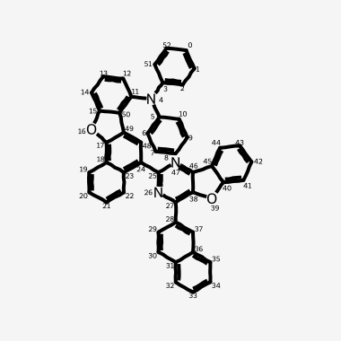 c1ccc(N(c2ccccc2)c2cccc3oc4c5ccccc5c(-c5nc(-c6ccc7ccccc7c6)c6oc7ccccc7c6n5)cc4c23)cc1